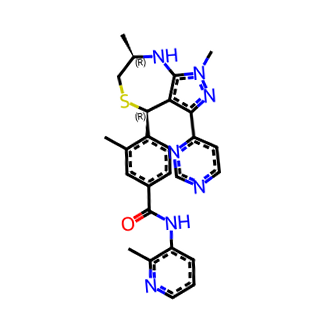 Cc1cc(C(=O)Nc2cccnc2C)ccc1[C@H]1SC[C@@H](C)Nc2c1c(-c1ccncn1)nn2C